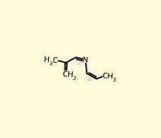 C=C(C)/C=N\C=C/C